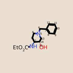 CCOC(=O)N[C@H]1CCN(Cc2ccccc2)C[C@@H]1O